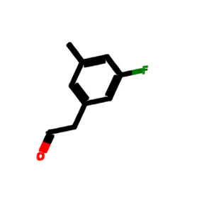 Cc1cc(F)cc(C[C]=O)c1